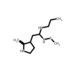 C=C1NCCC1CC(NCCC)NSC